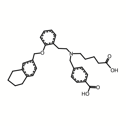 O=C(O)CCCCN(CCc1ccccc1OCc1ccc2c(c1)CCCC2)Cc1ccc(C(=O)O)cc1